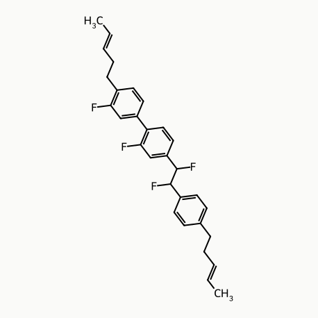 C/C=C/CCc1ccc(C(F)C(F)c2ccc(-c3ccc(CC/C=C/C)c(F)c3)c(F)c2)cc1